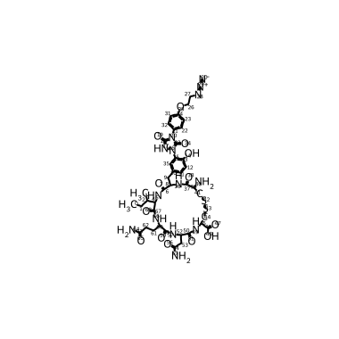 CCC(C)C1NC(=O)C(Cc2ccc(O)c(-n3[nH]c(=O)n(-c4ccc(OCCN=[N+]=[N-])cc4)c3=O)c2)NC(=O)C(N)CSSCC(C(=O)O)NC(=O)C(CC(N)=O)NC(=O)C(CCC(N)=O)NC1=O